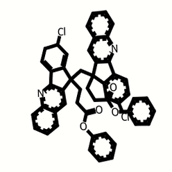 O=C(CCC1(CC2(CCC(=O)Oc3ccccc3)c3cc(Cl)ccc3-c3nc4ccccc4cc32)C2=CC(Cl)CC=C2c2nc3ccccc3cc21)Oc1ccccc1